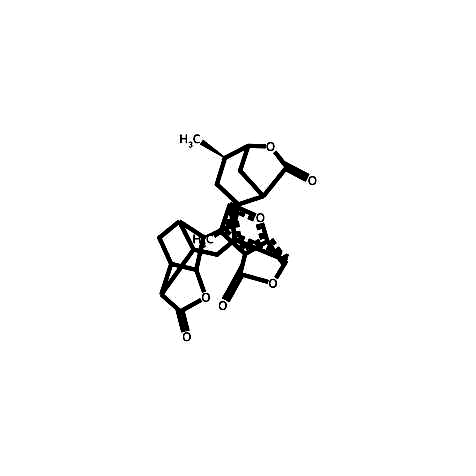 Cc1c2c3oc1c(CC1C4C(=O)OC5C4CC1[C@H]5CC1C[C@@H](C)C4CC1C(=O)O4)c3OC2=O